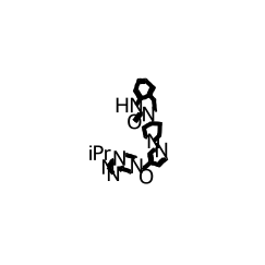 CC(C)c1nnc2n1CCN(C(=O)c1ccnc(N3CCC(N4CCc5ccccc5NC4=O)CC3)c1)C2